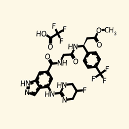 COC(=O)C[C@H](NC(=O)CNC(=O)c1cc(NC2=NCC(F)CN2)c2cn[nH]c2c1)c1ccc(C(F)(F)F)cc1.O=C(O)C(F)(F)F